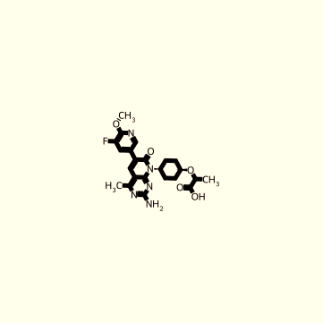 COc1ncc(-c2cc3c(C)nc(N)nc3n([C@H]3CC[C@H](OC(C)C(=O)O)CC3)c2=O)cc1F